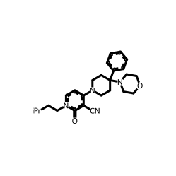 CC(C)CCn1ccc(N2CCC(c3ccccc3)(N3CCOCC3)CC2)c(C#N)c1=O